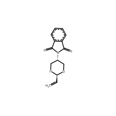 C=C[C@H]1OC[C@H](N2C(=O)c3ccccc3C2=O)CO1